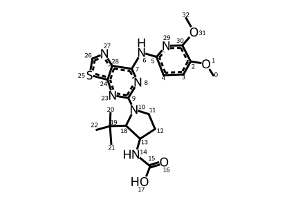 COc1ccc(Nc2nc(N3CCC(NC(=O)O)C3C(C)(C)C)nc3scnc23)nc1OC